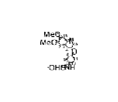 COc1cc2cc(Oc3ccc(N[C]=O)cc3)cnc2cc1OC